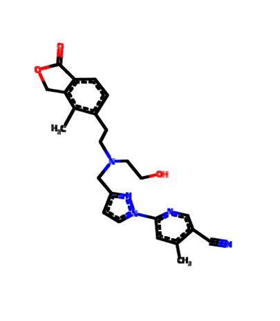 Cc1cc(-n2ccc(CN(CCO)CCc3ccc4c(c3C)COC4=O)n2)ncc1C#N